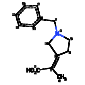 CC(C(=O)O)=C1CCN(Cc2ccccc2)C1